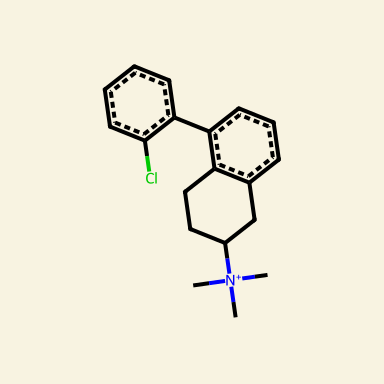 C[N+](C)(C)C1CCc2c(cccc2-c2ccccc2Cl)C1